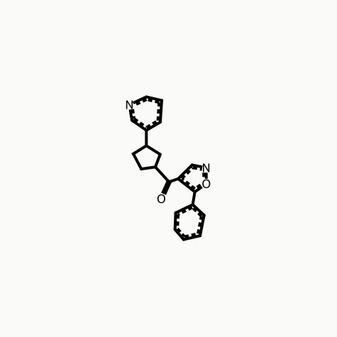 O=C(c1cnoc1-c1ccccc1)C1CCC(c2cccnc2)C1